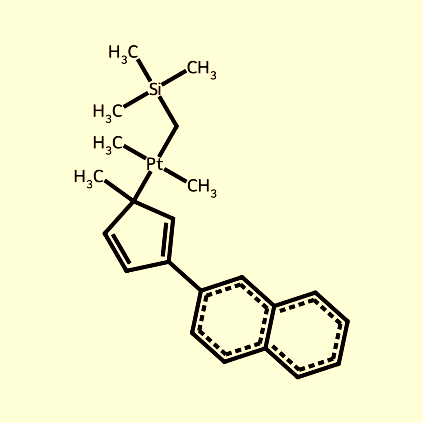 C[C]1([Pt]([CH3])([CH3])[CH2][Si](C)(C)C)C=CC(c2ccc3ccccc3c2)=C1